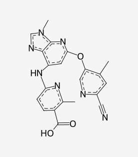 Cc1cc(C#N)ncc1Oc1cc(Nc2ccc(C(=O)O)c(C)n2)c2ncn(C)c2n1